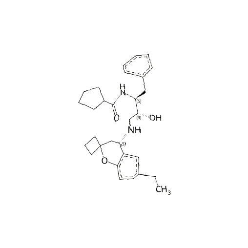 CCc1ccc2c(c1)[C@@H](NC[C@@H](O)[C@H](Cc1ccccc1)NC(=O)C1CCCC1)CC1(CCC1)O2